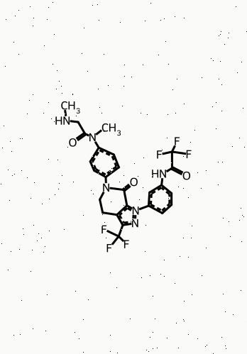 CNCC(=O)N(C)c1ccc(N2CCc3c(C(F)(F)F)nn(-c4cccc(NC(=O)C(F)(F)F)c4)c3C2=O)cc1